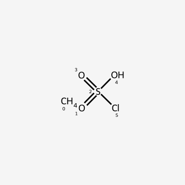 C.O=S(=O)(O)Cl